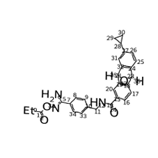 CCC(=O)ON=C(N)c1ccc(CNC(=O)c2ccc3c(c2)[C@@H]2O[C@H]3c3ccc(C4CC4)cc32)cc1